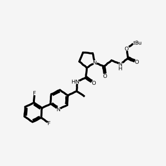 CC(NC(=O)C1CCCN1C(=O)CNC(=O)OC(C)(C)C)c1ccc(-c2c(F)cccc2F)nc1